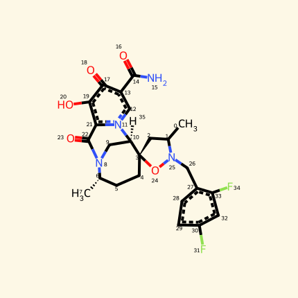 CC1C[C@]2(CC[C@H](C)N3C[C@H]2n2cc(C(N)=O)c(=O)c(O)c2C3=O)ON1Cc1ccc(F)cc1F